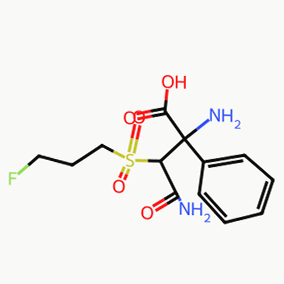 NC(=O)C(C(N)(C(=O)O)c1ccccc1)S(=O)(=O)CCCF